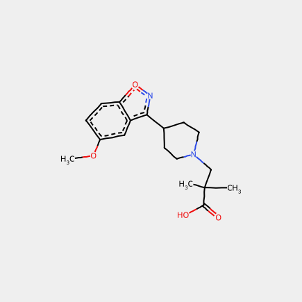 COc1ccc2onc(C3CCN(CC(C)(C)C(=O)O)CC3)c2c1